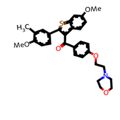 COc1ccc2c(C(=O)c3ccc(OCCN4CCOCC4)cc3)c(-c3ccc(OC)c(C)c3)sc2c1